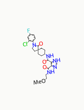 COCCNC(=O)c1nc[nH]c1C(=O)N[C@H]1CC[C@]2(CCN(c3ccc(F)cc3Cl)C2=O)CC1